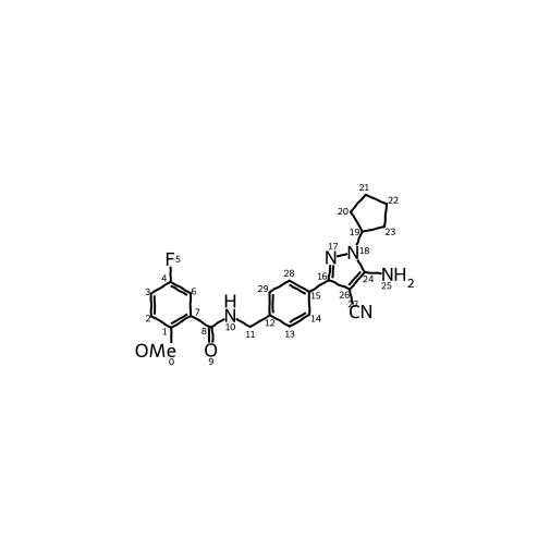 COc1ccc(F)cc1C(=O)NCc1ccc(-c2nn(C3CCCC3)c(N)c2C#N)cc1